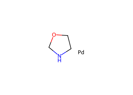 C1COCN1.[Pd]